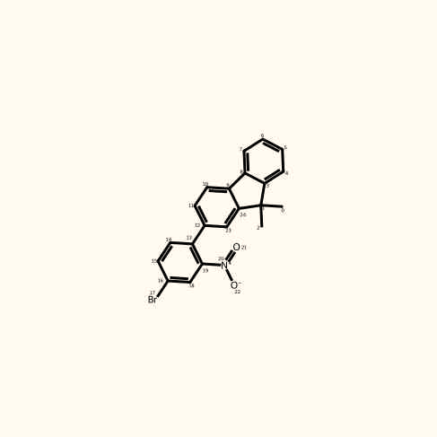 CC1(C)c2ccccc2-c2ccc(-c3ccc(Br)cc3[N+](=O)[O-])cc21